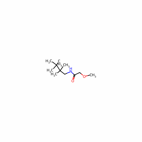 COCC(=O)NCC(C)(C)C(C)(C)C